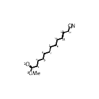 COC(=O)CCCCCCCCCCCC#N